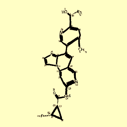 CC[C@@H](O)c1cc(C)c(-c2cc3cnc(NC(=O)[C@@H]4C[C@@H]4F)cc3n3ccnc23)cn1